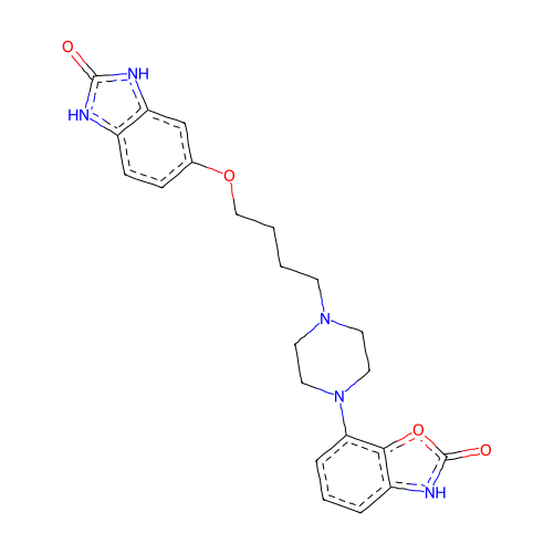 O=c1[nH]c2ccc(OCCCCN3CCN(c4cccc5[nH]c(=O)oc45)CC3)cc2[nH]1